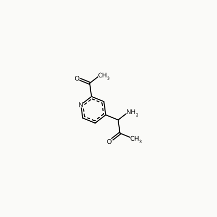 CC(=O)c1cc(C(N)C(C)=O)ccn1